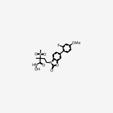 COc1ccc(-c2ccc3c(c2)oc(=O)n3CCC(C)(C(=O)NO)S(C)(=O)=O)c(F)c1